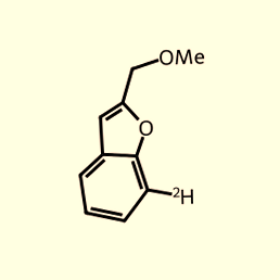 [2H]c1cccc2cc(COC)oc12